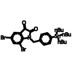 CCC[CH2][Sn]([CH2]CCC)([CH2]CCC)[c]1ccc(CN2C(=O)C(=O)c3cc(Br)cc(Br)c32)cc1